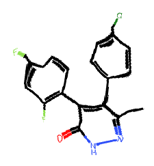 Cc1n[nH]c(=O)c(-c2ccc(F)cc2F)c1-c1ccc(Cl)cc1